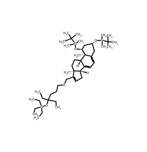 CCC(CC)(CCCOCC1=CC[C@H]2C3=CC=C4C[C@@H](O[Si](C)(C)C(C)(C)C)C[C@H](O[Si](C)(C)C(C)(C)C)[C@]4(C)[C@H]3CC[C@]12C)O[Si](CC)(CC)CC